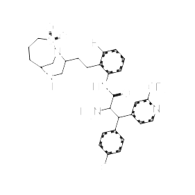 NC(C(=O)Nc1cccc(F)c1CCC1CNC2CCCS(=O)(=O)N1C2)C(c1ccc(Cl)cc1)c1ccnc(C(F)(F)F)c1